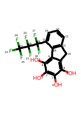 Oc1c(O)c(O)c2c(c1O)Cc1cccc(C(F)(F)C(F)(F)C(F)(F)F)c1-2